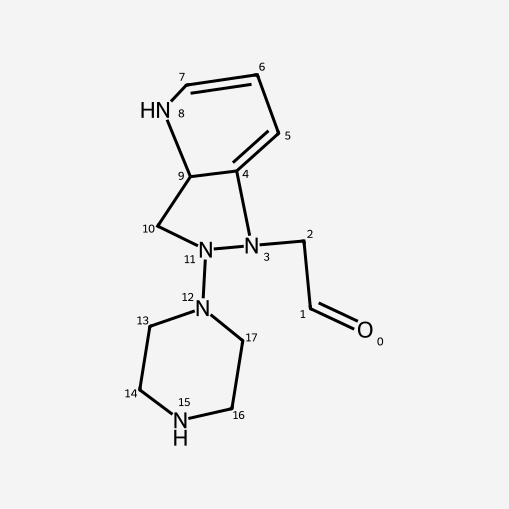 O=CCN1C2=CC=CNC2CN1N1CCNCC1